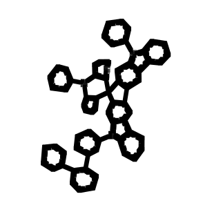 c1ccc(-c2ccccc2-c2cccc(-n3c4ccccc4c4cc5c(cc43)C3(c4cc6c(cc4-5)c4ccccc4n6-c4ccccc4)c4ccccc4N(c4ccccc4)c4ccccc43)c2)cc1